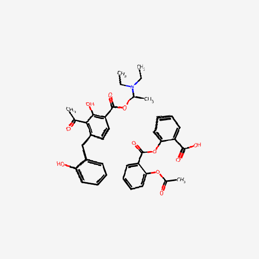 CC(=O)Oc1ccccc1C(=O)Oc1ccccc1C(=O)O.CCN(CC)C(C)OC(=O)c1ccc(Cc2ccccc2O)c(C(C)=O)c1O